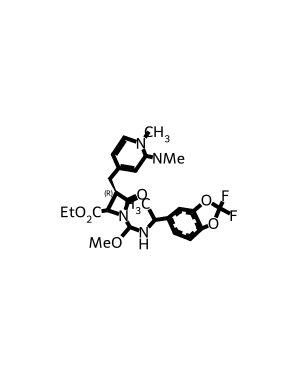 CCOC(=O)C1[C@@H](CC2=CC(NC)N(C)C=C2)C(=O)N1C(NC(C)c1ccc2c(c1)OC(F)(F)O2)OC